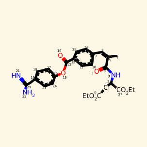 CCOC(=O)CC(NC(=O)C(C)=Cc1ccc(C(=O)Oc2ccc(C(=N)N)cc2)cc1)C(=O)OCC